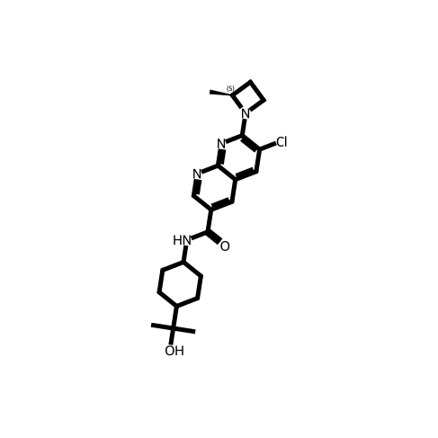 C[C@H]1CCN1c1nc2ncc(C(=O)NC3CCC(C(C)(C)O)CC3)cc2cc1Cl